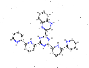 c1ccc(-c2cccc(-c3nc(-c4cccc(-c5ccccn5)n4)nc(-c4cnc5ccccc5n4)n3)n2)nc1